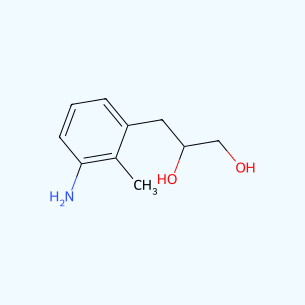 Cc1c(N)cccc1CC(O)CO